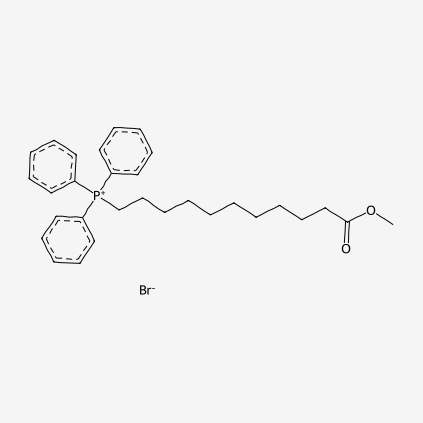 COC(=O)CCCCCCCCCC[P+](c1ccccc1)(c1ccccc1)c1ccccc1.[Br-]